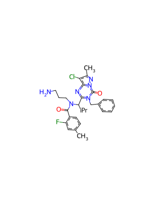 Cc1ccc(C(=O)N(CCCN)C(c2nc3c(Cl)c(C)nn3c(=O)n2Cc2ccccc2)C(C)C)c(F)c1